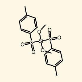 CO[Si](OC)(S(=O)(=O)c1ccc(C)cc1)S(=O)(=O)c1ccc(C)cc1